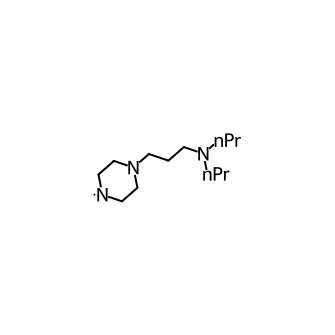 CCCN(CCC)CCCN1CC[N]CC1